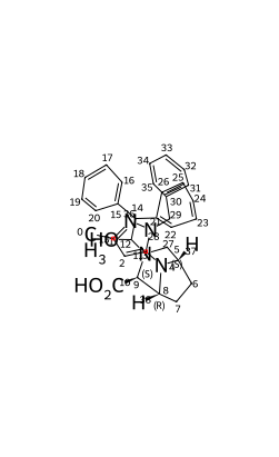 Cc1cc(N2[C@H]3CC[C@@H]2[C@@H](C(=O)O)N(C(O)C(c2ccccc2)c2ccccc2)C3)n(Cc2ccccc2)n1